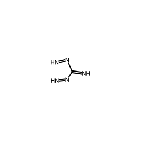 N=NC(=N)N=N